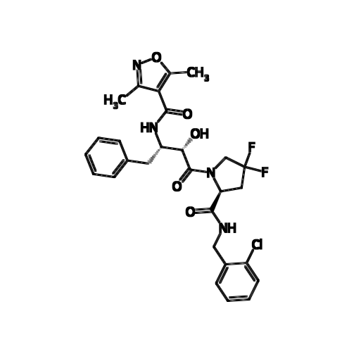 Cc1noc(C)c1C(=O)N[C@@H](Cc1ccccc1)[C@H](O)C(=O)N1CC(F)(F)C[C@H]1C(=O)NCc1ccccc1Cl